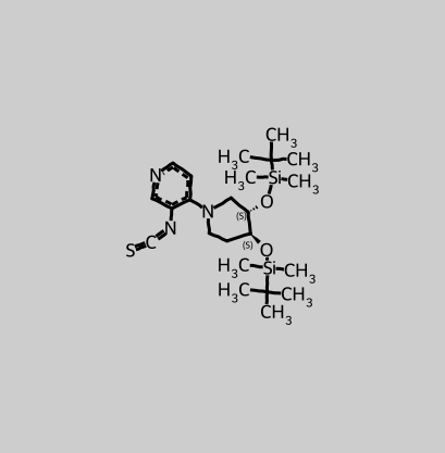 CC(C)(C)[Si](C)(C)O[C@H]1CCN(c2ccncc2N=C=S)C[C@@H]1O[Si](C)(C)C(C)(C)C